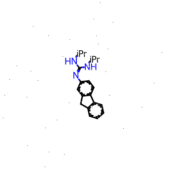 CC(C)NC(=Nc1ccc2c(c1)Cc1ccccc1-2)NC(C)C